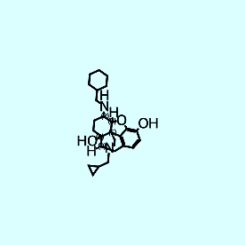 Oc1ccc2c3c1O[C@H]1[C@H](NCC4CCCCC4)CC[C@@]4(O)[C@@H](C2)N(CC2CC2)CC[C@]314